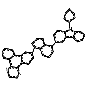 c1ccc(-n2c3ccccc3c3cc(-c4cccc5c(-c6ccc7c(c6)c6ccccc6c6nccnc76)cccc45)ccc32)cc1